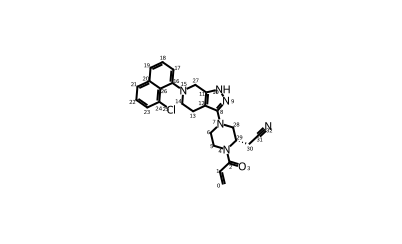 C=CC(=O)N1CCN(c2n[nH]c3c2CCN(c2cccc4cccc(Cl)c24)C3)C[C@@H]1CC#N